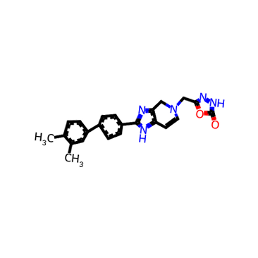 Cc1ccc(-c2ccc(-c3nc4c([nH]3)C=CN(Cc3n[nH]c(=O)o3)C4)cc2)cc1C